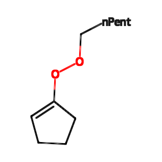 CCCCCCOOC1=CCCC1